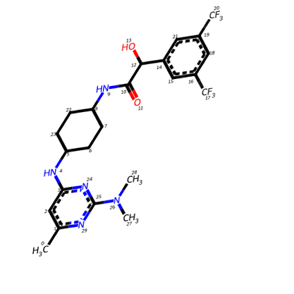 Cc1cc(NC2CCC(NC(=O)C(O)c3cc(C(F)(F)F)cc(C(F)(F)F)c3)CC2)nc(N(C)C)n1